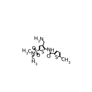 Cc1ccc(C(=O)Nc2sc(S(=O)(=O)N(C)C)cc2CN)s1